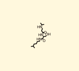 CC(C)CCCCNC(=O)C(CO)NC(=O)CCNC(C)C